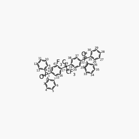 O=P(c1ccccc1)(c1ccccc1)c1ccc(C(c2ccc(P(=O)(c3ccccc3)c3ccccc3)cc2)(C(F)(F)F)C(F)(F)F)cc1